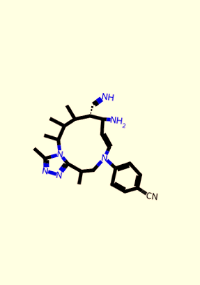 Cc1nnc2n1C(C)C(C)C(C)[C@H](C=N)C(N)/C=C/N(c1ccc(C#N)cc1)CC2C